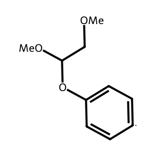 COCC(OC)Oc1cc[c]cc1